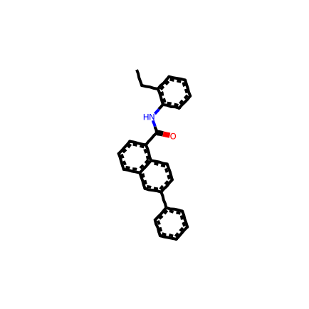 CCc1ccccc1NC(=O)c1cccc2cc(-c3ccccc3)ccc12